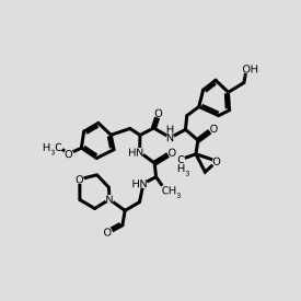 COc1ccc(CC(NC(=O)C(C)NCC(C=O)N2CCOCC2)C(=O)NC(Cc2ccc(CO)cc2)C(=O)C2(C)CO2)cc1